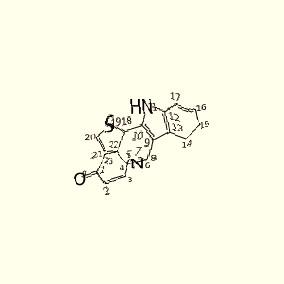 O=C1C=CC23C=NC=C2c2c([nH]c4c2CCC=C4)C2SC=CC23C1